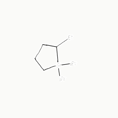 CCC1CCC[Si]1(C(C)C)C(C)C